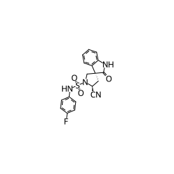 N#C[C@@H]1C[C@@]2(CN1S(=O)(=O)Nc1ccc(F)cc1)C(=O)Nc1ccccc12